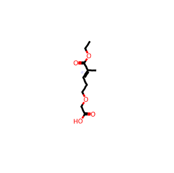 CCOC(=O)/C(C)=C/CCOCC(=O)O